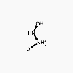 [O-][NH2+]NO